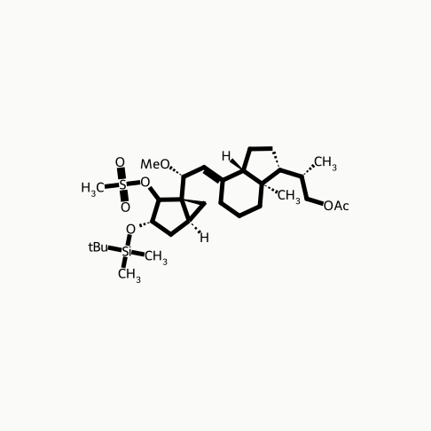 CO[C@H](/C=C1\CCC[C@]2(C)[C@@H]([C@H](C)COC(C)=O)CC[C@@H]12)[C@]12C[C@H]1C[C@H](O[Si](C)(C)C(C)(C)C)C2OS(C)(=O)=O